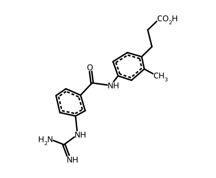 Cc1cc(NC(=O)c2cccc(NC(=N)N)c2)ccc1CCC(=O)O